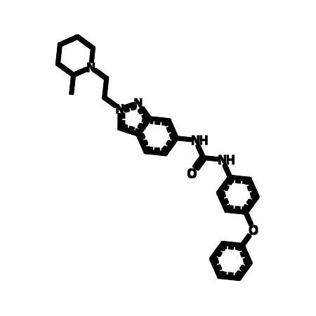 CC1CCCCN1CCn1cc2ccc(NC(=O)Nc3ccc(Oc4ccccc4)cc3)cc2n1